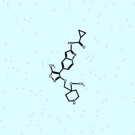 COC1(COc2noc(C)c2-c2ccn3nc(NC(=O)C4CC4)cc3c2)CCNCC1